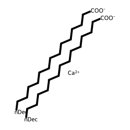 CCCCCCCCCCCCCCCCCCCCCCCC(=O)[O-].CCCCCCCCCCCCCCCCCCCCCCCC(=O)[O-].[Ca+2]